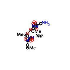 COc1ccc(C2=CN3C(=O)c4cc(OC)c(OCCCOc5cc6c(cc5OC)C(=O)N5C=C(c7ccc(N)cc7)C[C@H]5C(S(=O)(=O)[O-])=N6)cc4N[C@@H](S(=O)(=O)[O-])C3C2)cc1.[Na+].[Na+]